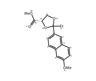 CCC1(c2ccc3cc(OC)ccc3c2)OC[C@@H](C(=O)OC)O1